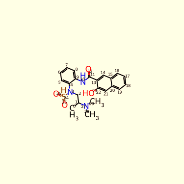 CC(CN(c1ccccc1NC(=O)c1cc2ccccc2cc1O)[SH](=O)=O)N(C)C